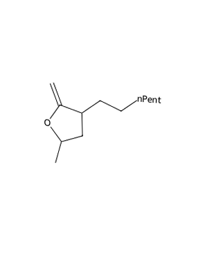 C=C1OC(C)CC1CCCCCCC